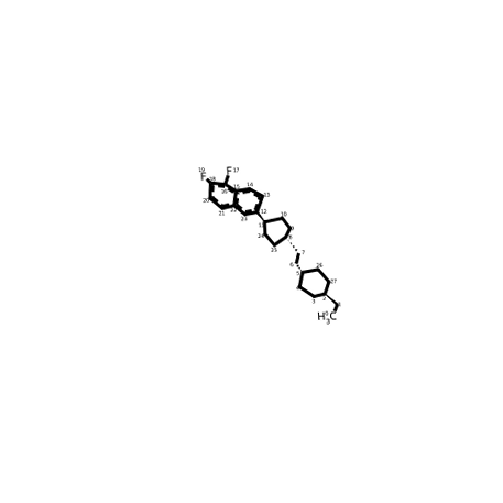 CC[C@H]1CC[C@H](CC[C@H]2CC[C@H](c3ccc4c(F)c(F)ccc4c3)CC2)CC1